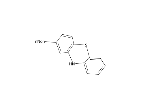 CCCCCCCCCc1ccc2c(c1)Nc1ccccc1S2